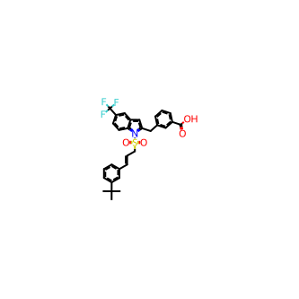 CC(C)(C)c1cccc(C=CCS(=O)(=O)n2c(Cc3cccc(C(=O)O)c3)cc3cc(C(F)(F)F)ccc32)c1